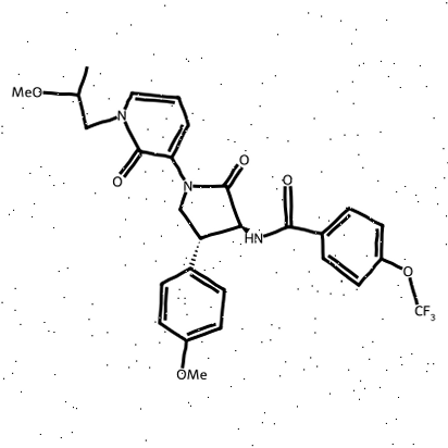 COc1ccc([C@@H]2CN(c3cccn(CC(C)OC)c3=O)C(=O)[C@H]2NC(=O)c2ccc(OC(F)(F)F)cc2)cc1